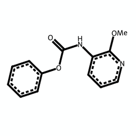 COc1ncccc1NC(=O)Oc1ccccc1